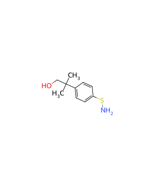 CC(C)(CO)c1ccc(SN)cc1